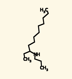 CCCCCCCCCC(CC)NCCC